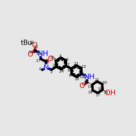 CN(Cc1cccc(-c2ccc(NC(=O)[C@H]3CC[C@@H](O)CC3)cc2)c1)C(=O)CNC(=O)OC(C)(C)C